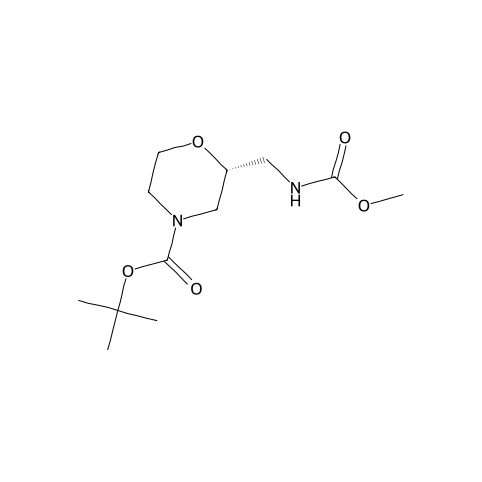 COC(=O)NC[C@@H]1CN(C(=O)OC(C)(C)C)CCO1